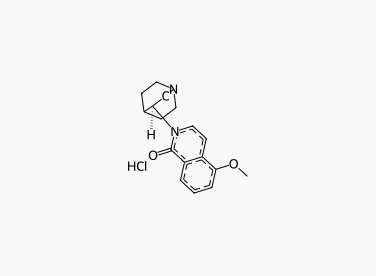 COc1cccc2c(=O)n([C@@H]3CN4CCC3CC4)ccc12.Cl